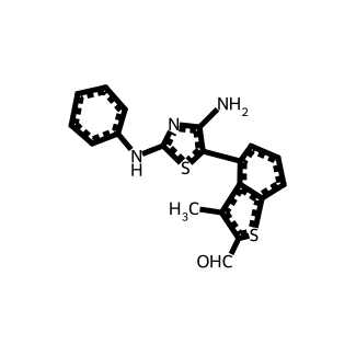 Cc1c(C=O)sc2cccc(-c3sc(Nc4ccccc4)nc3N)c12